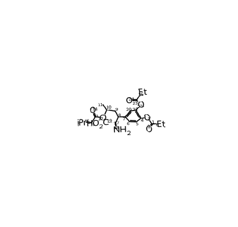 CCC(=O)Oc1ccc(C(CC(C)OC(=O)CC(C)C)[C@H](N)C(=O)O)cc1OC(=O)CC